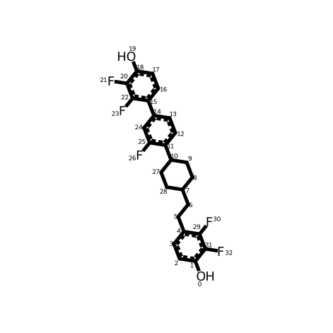 Oc1ccc(CCC2CCC(c3ccc(-c4ccc(O)c(F)c4F)cc3F)CC2)c(F)c1F